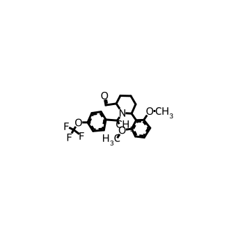 COc1cccc(OC)c1C1CCCC(C=O)N1C(C)c1ccc(OC(F)(F)F)cc1